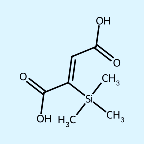 C[Si](C)(C)/C(=C\C(=O)O)C(=O)O